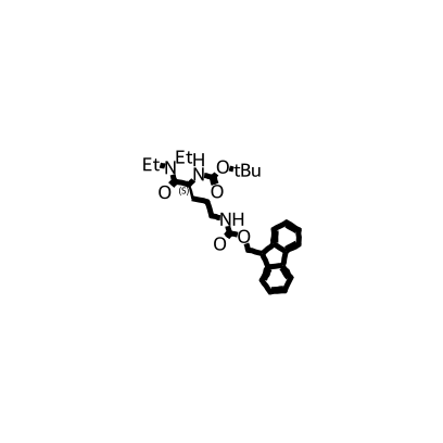 CCN(CC)C(=O)[C@H](CCCNC(=O)OCC1c2ccccc2-c2ccccc21)NC(=O)OC(C)(C)C